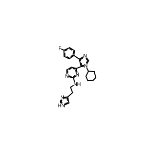 Fc1ccc(-c2ncn(C3CCCCC3)c2-c2ccnc(NCCc3c[nH]cn3)n2)cc1